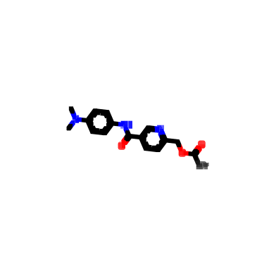 CCCC(=O)OCc1ccc(C(=O)Nc2ccc(N(C)C)cc2)cn1